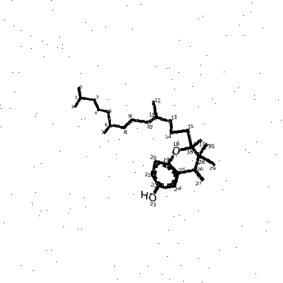 CC(C)CCCC(C)CCCC(C)CCCC1(C)Oc2ccc(O)cc2C(C)C1(C)C